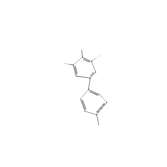 Cc1ccc(-c2cc(F)c(C(=O)O)c(F)c2)cc1